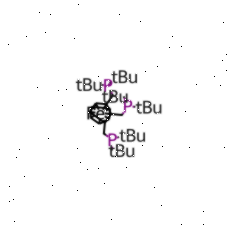 CC(C)(C)P(C[C]12[CH]3[CH]4[C]5(CP(C(C)(C)C)C(C)(C)C)[C]1(CP(C(C)(C)C)C(C)(C)C)[Fe]34251678[CH]2[CH]1[CH]6[CH]7[CH]28)C(C)(C)C